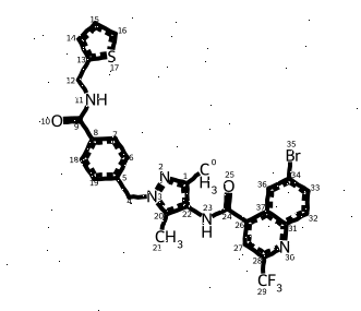 Cc1nn(Cc2ccc(C(=O)NCc3cccs3)cc2)c(C)c1NC(=O)c1cc(C(F)(F)F)nc2ccc(Br)cc12